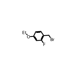 CCOc1ccc(CBr)c(F)c1